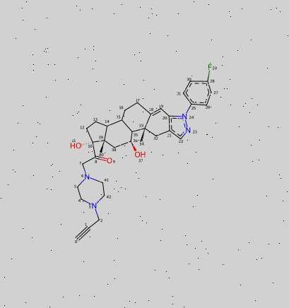 C#CCN1CCN(CC(=O)[C@@]2(O)CCC3C4CCC5=Cc6c(cnn6-c6ccc(F)cc6)C[C@]5(C)C4[C@@H](O)C[C@@]32C)CC1